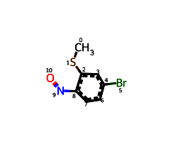 CSc1cc(Br)ccc1N=O